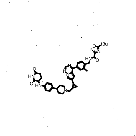 Cc1cc(-c2ncnn3cc(C4CC4CN4CCC(c5ccc(NC6CCC(=O)NC6=O)cc5)CC4)cc23)ccc1CNC(=O)c1noc(C(C)(C)C)n1